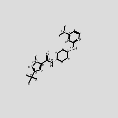 CN(C)c1ccnc(N[C@H]2CC[C@@H](NC(=O)c3cc(C(C)(C)C)nn3C)CC2)n1